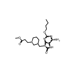 CCCCOc1nc(N)c2[nH]c(=O)n(CC3CCCN(CCC(=O)OC)C3)c2n1